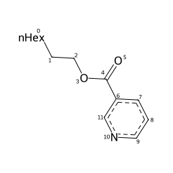 CCCCCCCCOC(=O)c1cccnc1